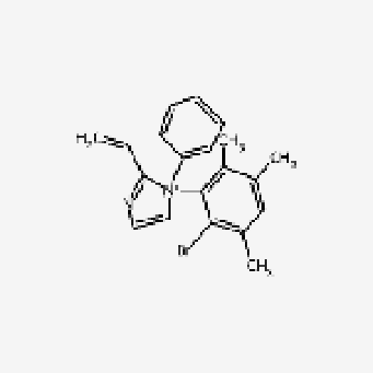 C=CC1=NC=C[N+]1(c1ccccc1)c1c(C)c(C)cc(C)c1Br